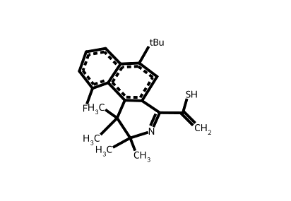 C=C(S)C1=NC(C)(C)C(C)(C)c2c1cc(C(C)(C)C)c1cccc(F)c21